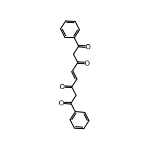 O=C(C=CC(=O)CC(=O)c1ccccc1)CC(=O)c1ccccc1